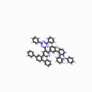 c1ccc(-c2ccc(-c3ccccc3)c(-c3cnc(-c4ccc5sc6ccc7c(c8ccccc8n7-c7ccccc7)c6c5c4)c(-c4nc(-c5ccccc5)nc(-c5ccccc5)n4)c3)c2)cc1